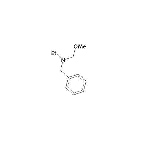 CCN(COC)Cc1ccccc1